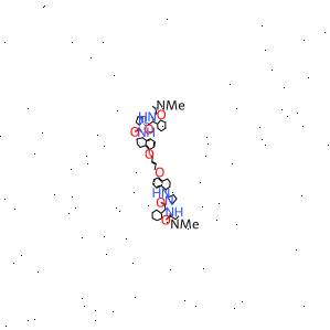 CN[C@@H](C)C(=O)N[C@H](C(=O)N1CCC[C@H]1N[C@@H]1CCCc2c(OC/C=C/COc3cccc4c3CCC[C@H]4NC(=O)[C@@H]3CCCN3C(=O)[C@@H](NC(=O)[C@H](C)NC)C3CCCCC3)cccc21)C1CCCCC1